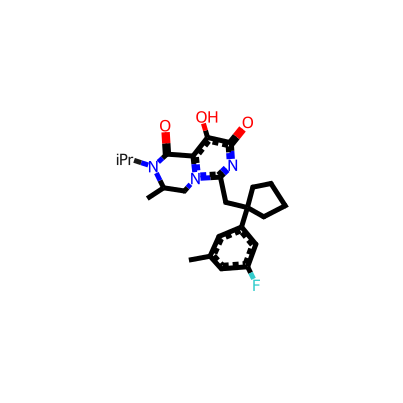 Cc1cc(F)cc(C2(Cc3nc(=O)c(O)c4n3CC(C)N(C(C)C)C4=O)CCCC2)c1